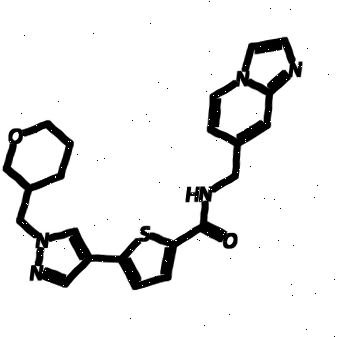 O=C(NCc1ccn2ccnc2c1)c1ccc(-c2cnn(CC3CCCOC3)c2)s1